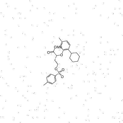 COC(=O)C(CCOS(=O)(=O)c1ccc(C)cc1)Oc1cc(C)ccc1C1CCCCC1